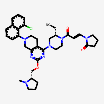 CN1CCC[C@H]1COc1nc2c(c(N3CCN(C(=O)/C=C/N4CCCC4=O)[C@@H](CC#N)C3)n1)CCN(c1cccc3cccc(Cl)c13)C2